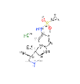 CC[C@]1(c2cccc(NS(=O)(=O)C3CC3)c2)[C@@H]2CNC[C@@H]21.Cl